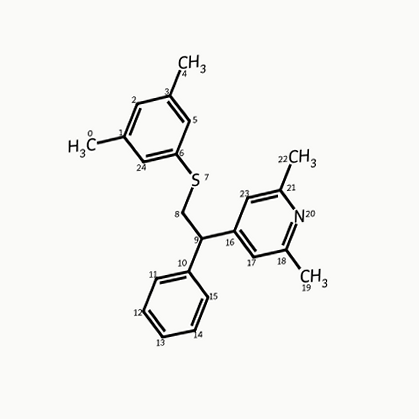 Cc1cc(C)cc(SCC(c2ccccc2)c2cc(C)nc(C)c2)c1